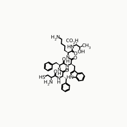 C[C@@H](O)[C@H](NC(=O)[C@H](CCCCN)NC(=O)[C@@H](Cc1c[nH]c2ccccc12)NC(=O)[C@H](Cc1ccccc1)NC(=O)[C@H](Cc1ccccc1)NC(=O)[C@@H](N)CS)C(=O)O